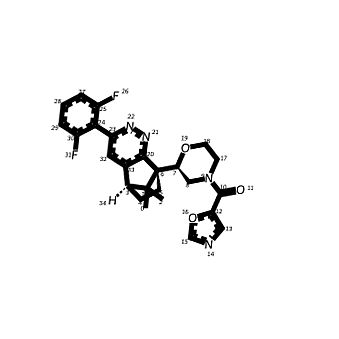 CC1(C)[C@H]2CC[C@]1([C@@H]1CN(C(=O)c3cnco3)CCO1)c1nnc(-c3c(F)cccc3F)cc12